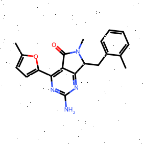 Cc1ccc(-c2nc(N)nc3c2C(=O)N(C)C3Cc2ccccc2C)o1